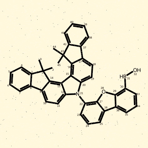 CC1(C)c2ccccc2-c2ccc3c(c21)c1c2c(ccc1n3-c1cccc3c1oc1c(BO)cccc13)-c1ccccc1C2(C)C